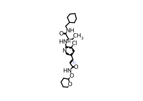 CC[C@@H](Nc1ncc(/C=C/C(=O)NOC2CCCCO2)cc1Cl)C(=O)NCC1CCCCC1